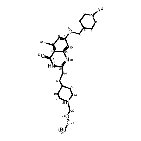 CC(=O)N1CCC(COc2cc(F)c3c(=O)[nH]c(CCC4CCN(COOC(C)(C)C)CC4)nc3c2)CC1